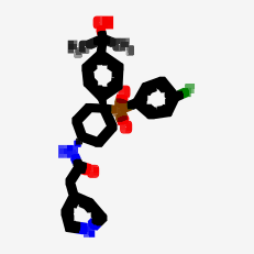 O=C(Cc1ccncc1)N[C@H]1CC[C@@](c2ccc(C(O)(C(F)(F)F)C(F)(F)F)cc2)(S(=O)(=O)c2ccc(F)cc2)CC1